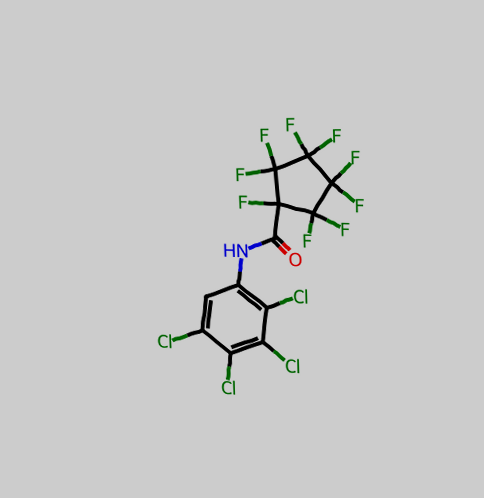 O=C(Nc1cc(Cl)c(Cl)c(Cl)c1Cl)C1(F)C(F)(F)C(F)(F)C(F)(F)C1(F)F